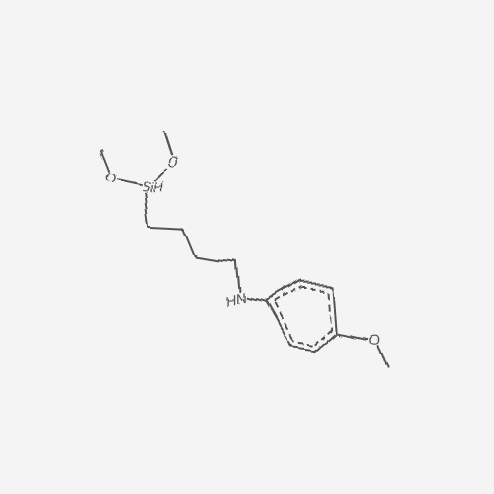 COc1ccc(NCCCC[SiH](OC)OC)cc1